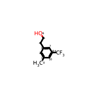 Cc1cc(CCO)cc(C(F)(F)F)c1